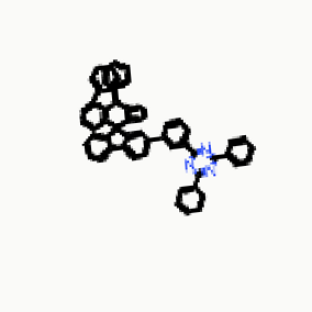 c1ccc(-c2nc(-c3ccccc3)nc(-c3cccc(-c4ccc5c(c4)C4(c6ccccc6-5)c5ccccc5C5(c6ccccc6)c6ccccc6-c6cccc4c65)c3)n2)cc1